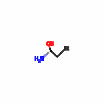 CCC[C@H](N)O